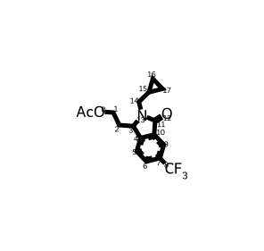 CC(=O)OCCC1c2ccc(C(F)(F)F)cc2C(=O)N1CC1CC1